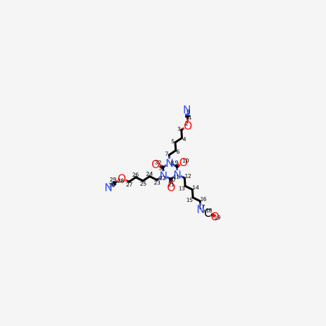 N#COCCCCCn1c(=O)n(CCCCCN=C=O)c(=O)n(CCCCCOC#N)c1=O